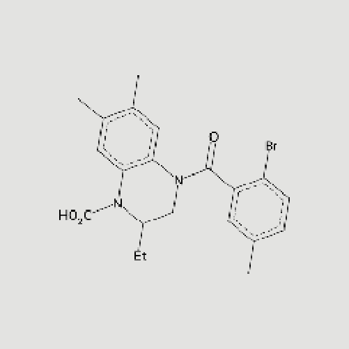 CCC1CN(C(=O)c2cc(C)ccc2Br)c2cc(C)c(C)cc2N1C(=O)O